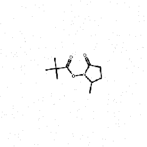 CC1CCC(=O)N1OC(=O)C(C)(C)C